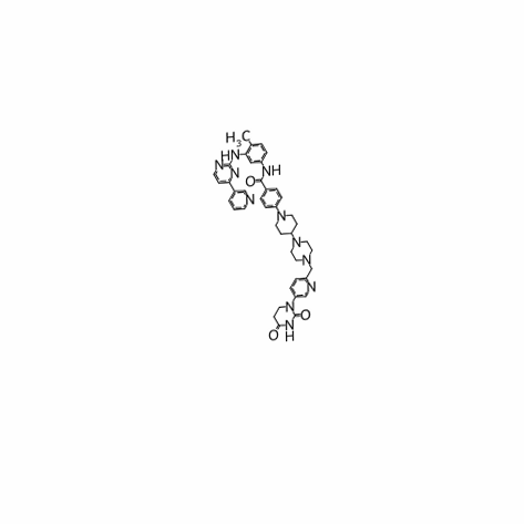 Cc1ccc(NC(=O)c2ccc(N3CCC(N4CCN(Cc5ccc(N6CCC(=O)NC6=O)cn5)CC4)CC3)cc2)cc1Nc1nccc(-c2cccnc2)n1